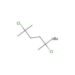 CCCCC(C)(Cl)CCC(C)(C)Cl